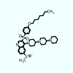 CCCCCCCOc1ccc(S(=O)(=O)c2cnc3ccc([S+](C)[O-])cc3c2N2CCC(N3CCC(N4CCCCC4)CC3)CC2)cc1